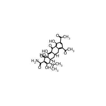 CC(=O)c1cc(C(C)=O)c2c(c1O)C(=O)C1=C(O)[C@@]3(O)C(=O)C(C(N)=O)=C(O)[C@H](N(C)C)[C@H]3C[C@H]1C2